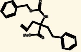 C=CCC(CCc1ccccc1)(NC(=O)OCc1ccccc1)C(=O)OC